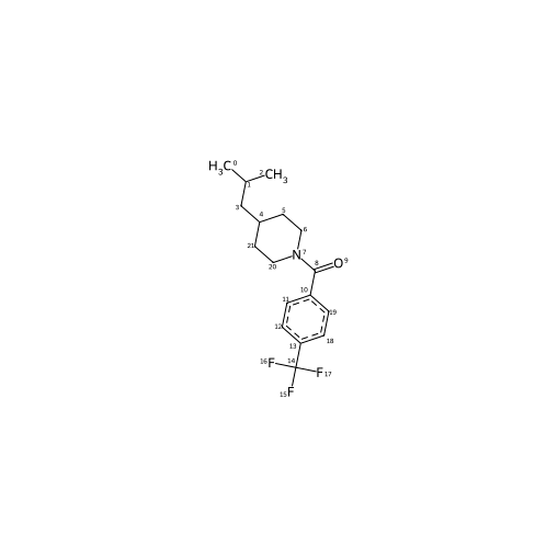 CC(C)CC1CCN(C(=O)c2ccc(C(F)(F)F)cc2)CC1